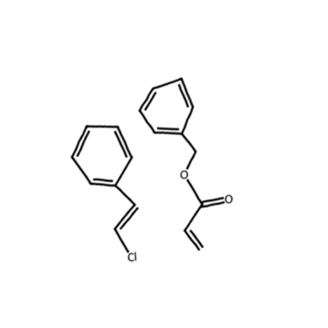 C=CC(=O)OCc1ccccc1.ClC=Cc1ccccc1